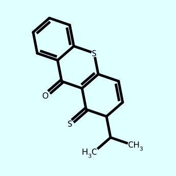 CC(C)C1C=Cc2sc3ccccc3c(=O)c2C1=S